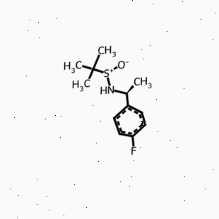 C[C@H](N[S+]([O-])C(C)(C)C)c1ccc(F)cc1